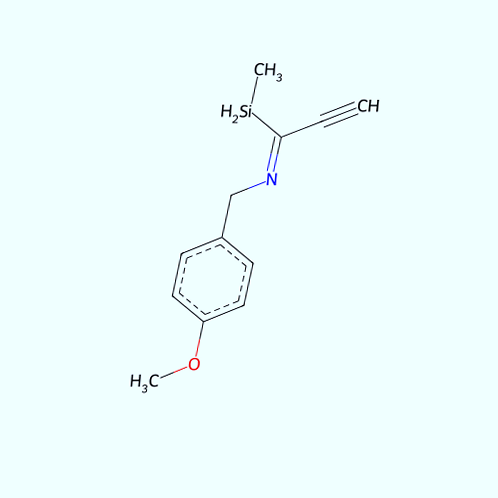 C#CC(=NCc1ccc(OC)cc1)[SiH2]C